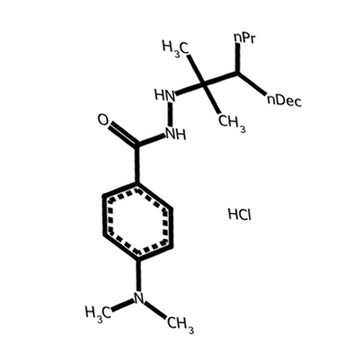 CCCCCCCCCCC(CCC)C(C)(C)NNC(=O)c1ccc(N(C)C)cc1.Cl